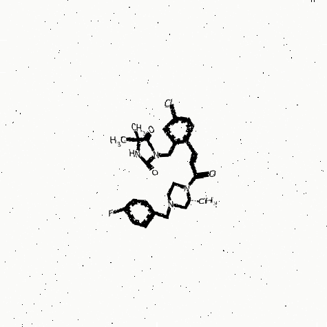 C[C@@H]1CN(Cc2ccc(F)cc2)CCN1C(=O)C=Cc1ccc(Cl)cc1CN1C(=O)NC(C)(C)C1=O